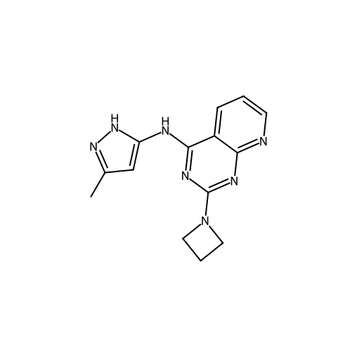 Cc1cc(Nc2nc(N3CCC3)nc3ncccc23)[nH]n1